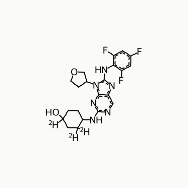 [2H]C1(O)CCC(Nc2ncc3nc(Nc4c(F)cc(F)cc4F)n(C4CCOC4)c3n2)C([2H])([2H])C1